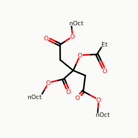 CCCCCCCCOC(=O)CC(CC(=O)OCCCCCCCC)(OC(=O)CC)C(=O)OCCCCCCCC